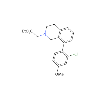 CCOC(=O)CN1CCc2cccc(-c3ccc(OC)cc3Cl)c2C1